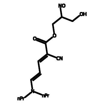 CCCN(/C=C/C=C(\C#N)C(=O)OCC(CO)N=O)CCC